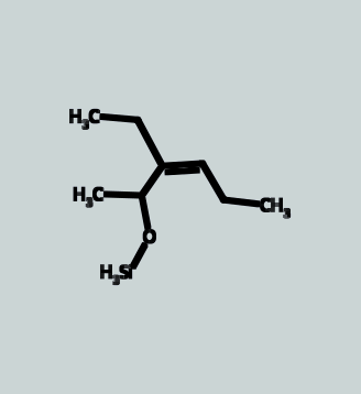 CCC=C(CC)C(C)O[SiH3]